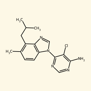 Cc1ccc2c(ncn2-c2ncnc(N)c2Cl)c1CC(C)C